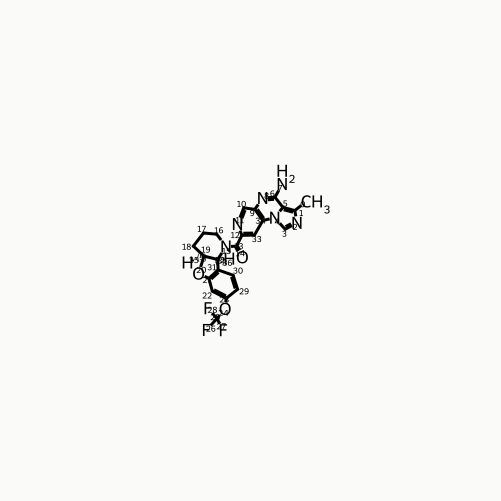 Cc1ncn2c1c(N)nc1cnc(C(=O)N3CCC[C@@H]4Oc5cc(OC(F)(F)F)ccc5[C@@H]43)cc12